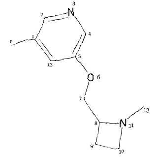 Cc1cncc(OCC2CCN2C)c1